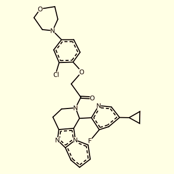 O=C(COc1ccc(N2CCOCC2)cc1Cl)N1CCc2nc3ccccn3c2C1c1ncc(C2CC2)cc1F